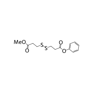 COC(=O)CCSSCCC(=O)Oc1ccccc1